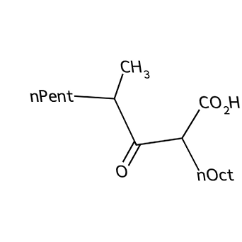 CCCCCCCCC(C(=O)O)C(=O)C(C)CCCCC